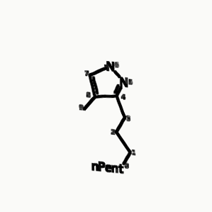 CCCCCCCCC1=N[N]C=C1C